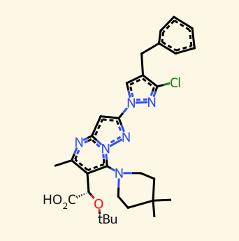 Cc1nc2cc(-n3cc(Cc4ccccc4)c(Cl)n3)nn2c(N2CCC(C)(C)CC2)c1[C@H](OC(C)(C)C)C(=O)O